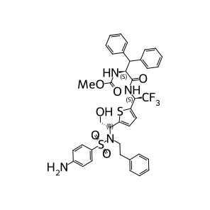 COC(=O)N[C@H](C(=O)N[C@H](c1ccc([C@@H](CO)N(CCc2ccccc2)S(=O)(=O)c2ccc(N)cc2)s1)C(F)(F)F)C(c1ccccc1)c1ccccc1